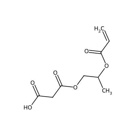 C=CC(=O)OC(C)COC(=O)CC(=O)O